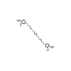 CSc1cc(CCCSCCCSSCCCSCCCc2ccc(O)c(SC)c2)ccc1O